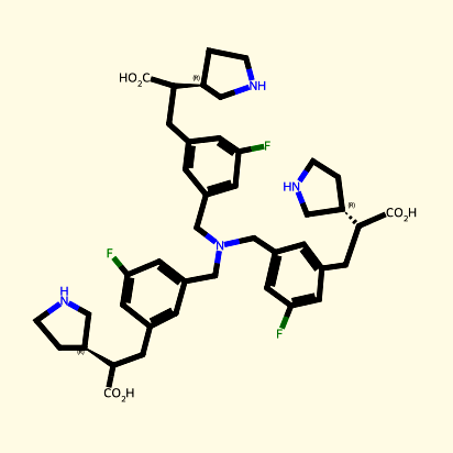 O=C(O)C(Cc1cc(F)cc(CN(Cc2cc(F)cc(CC(C(=O)O)[C@H]3CCNC3)c2)Cc2cc(F)cc(CC(C(=O)O)[C@H]3CCNC3)c2)c1)[C@H]1CCNC1